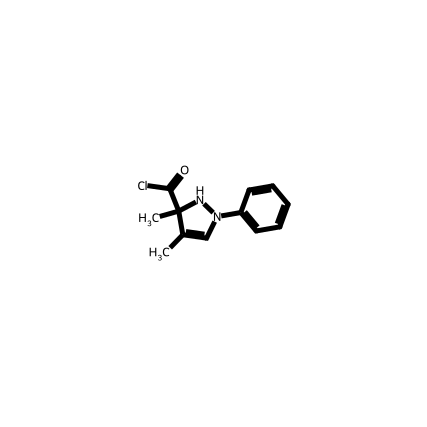 CC1=CN(c2ccccc2)NC1(C)C(=O)Cl